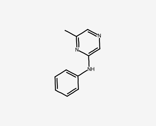 Cc1cncc(Nc2ccccc2)n1